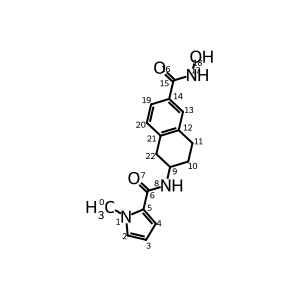 Cn1cccc1C(=O)NC1CCc2cc(C(=O)NO)ccc2C1